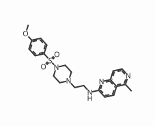 COc1ccc(S(=O)(=O)N2CCN(CCNc3ccc4c(C)nccc4n3)CC2)cc1